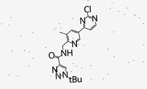 Cc1cc(-c2ccnc(Cl)n2)cnc1CNC(=O)c1cn(C(C)(C)C)nn1